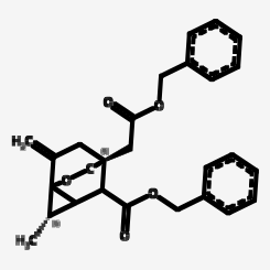 C=C1C[C@@]2(CC(=O)OCc3ccccc3)COC13C(C2C(=O)OCc1ccccc1)[C@@H]3C